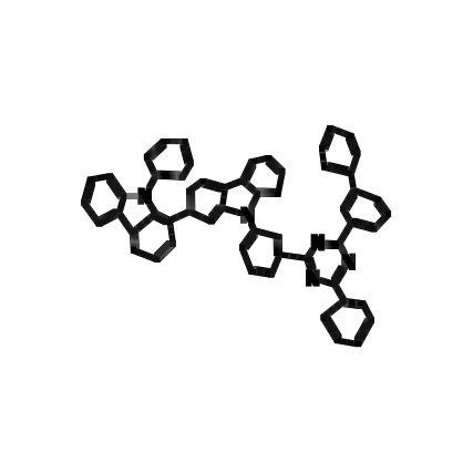 c1ccc(-c2cccc(-c3nc(-c4ccccc4)nc(-c4cccc(-n5c6ccccc6c6ccc(-c7cccc8c9ccccc9n(-c9ccccc9)c78)cc65)c4)n3)c2)cc1